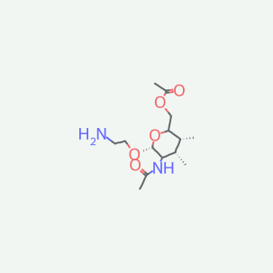 CC(=O)NC1[C@H](OCCN)OC(COC(C)=O)[C@H](C)[C@@H]1C